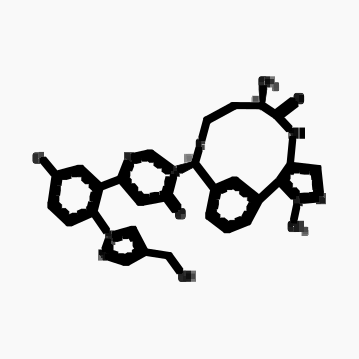 C[C@@H]1CCC[C@H](n2cnc(-c3cc(Cl)ccc3-n3cc(CO)cn3)cc2=O)c2cccc(c2)-c2c(cnn2C)NC1=O